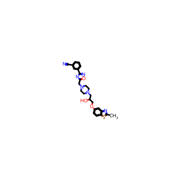 Cc1nc2cc(OCC(O)CN3CCN(Cc4nc(-c5cccc(C#N)c5)no4)CC3)ccc2s1